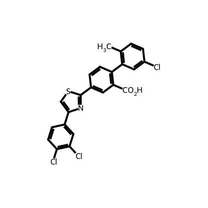 Cc1ccc(Cl)cc1-c1ccc(-c2nc(-c3ccc(Cl)c(Cl)c3)cs2)cc1C(=O)O